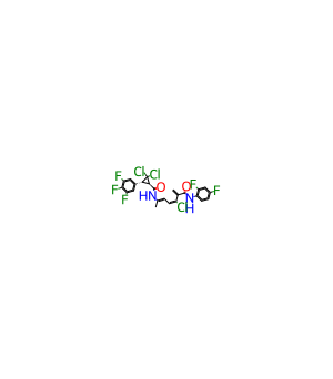 C=C(C(=O)Nc1ccc(F)cc1F)/C(Cl)=C\C=C(/C)NC(=O)[C@H]1[C@H](c2cc(F)c(F)c(F)c2)C1(Cl)Cl